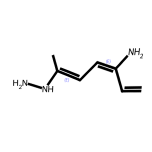 C=C/C(N)=C\C=C(/C)NN